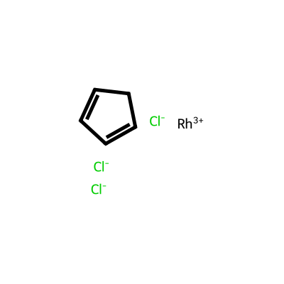 C1=CCC=C1.[Cl-].[Cl-].[Cl-].[Rh+3]